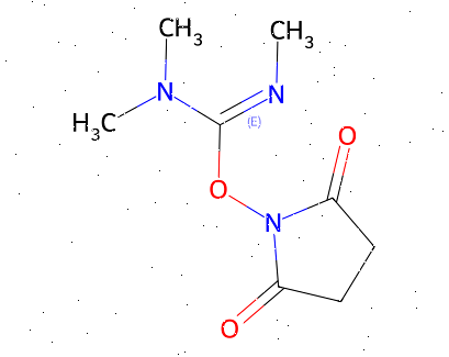 C/N=C(/ON1C(=O)CCC1=O)N(C)C